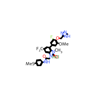 COc1cc(-c2cc(C(F)(F)F)cc3c2n(C)c(=O)n3CC(=O)Nc2ccc(SC)cc2)cc(F)c1OCc1nnc[nH]1.Cl